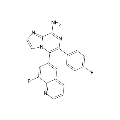 Nc1nc(-c2ccc(F)cc2)c(-c2cc(F)c3ncccc3c2)n2ccnc12